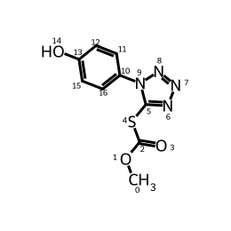 COC(=O)Sc1nnnn1-c1ccc(O)cc1